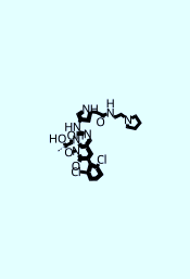 C[C@](O)(CO)On1c(=O)c(-c2c(Cl)cccc2Cl)cc2cnc(Nc3c[nH]c(CC(=O)NCCN4CCCC4)c3)nc21